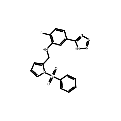 O=S(=O)(c1ccccc1)n1cccc1CNc1cc(-c2nnn[nH]2)ccc1F